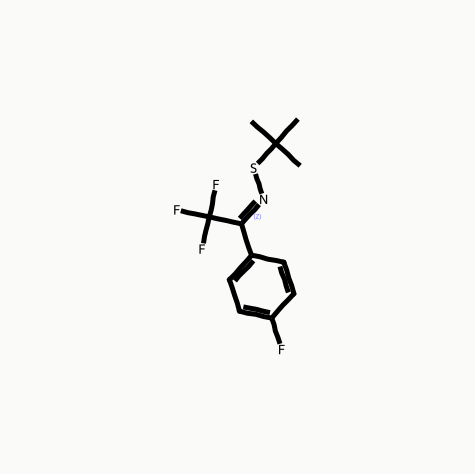 CC(C)(C)S/N=C(/c1ccc(F)cc1)C(F)(F)F